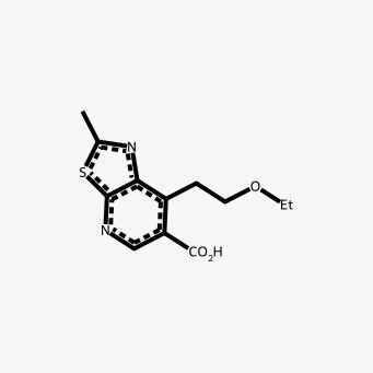 CCOCCc1c(C(=O)O)cnc2sc(C)nc12